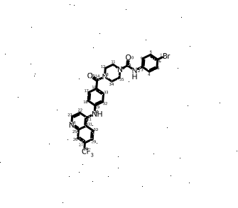 O=C(Nc1ccc(Br)cc1)N1CCN(C(=O)c2ccc(Nc3ccnc4cc(C(F)(F)F)ccc34)cc2)CC1